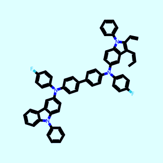 C=Cc1c(/C=C\C)c2cc(N(c3ccc(F)cc3)c3ccc(-c4ccc(N(c5ccc(F)cc5)c5ccc6c(c5)c5ccccc5n6-c5ccccc5)cc4)cc3)ccc2n1-c1ccccc1